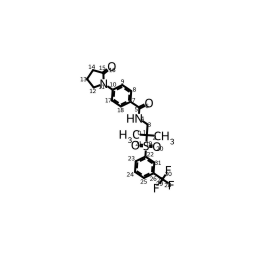 CC(C)(CNC(=O)c1ccc(N2CCCC2=O)cc1)S(=O)(=O)c1cccc(C(F)(F)F)c1